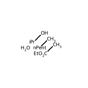 CC(C)O.CCCCCC.CCOC(C)=O.O